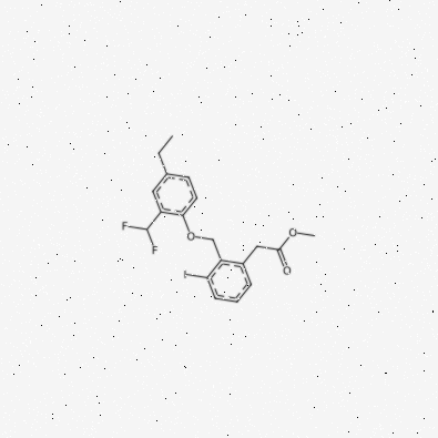 CCc1ccc(OCc2c(I)cccc2CC(=O)OC)c(C(F)F)c1